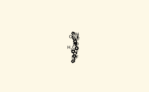 Cc1c(-c2nc3cc(COC(=O)[C@@H]4CCCN4)c(OC(F)F)cc3o2)cccc1-c1cccc(-c2cnc(CN3CCCC3)c(F)c2)c1C(F)F